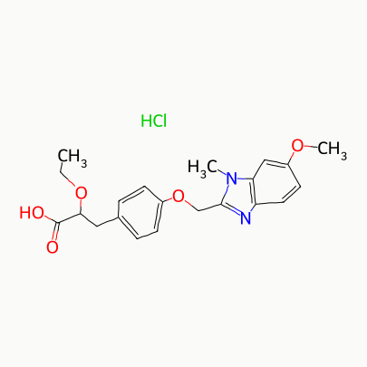 CCOC(Cc1ccc(OCc2nc3ccc(OC)cc3n2C)cc1)C(=O)O.Cl